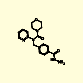 NNC(=O)c1ccc(CN(C(=O)N2CCOCC2)c2ccccn2)cc1